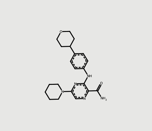 NC(=O)c1ncc(N2CCCCC2)nc1Nc1ccc(C2CCOCC2)cc1